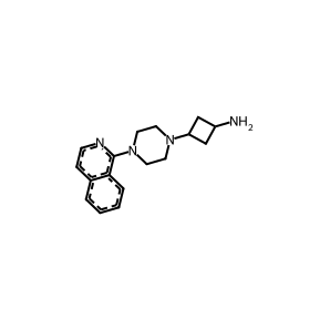 NC1CC(N2CCN(c3nccc4ccccc34)CC2)C1